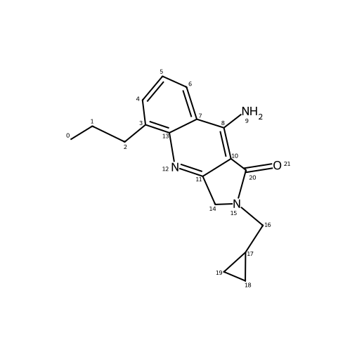 CCCc1cccc2c(N)c3c(nc12)CN(CC1CC1)C3=O